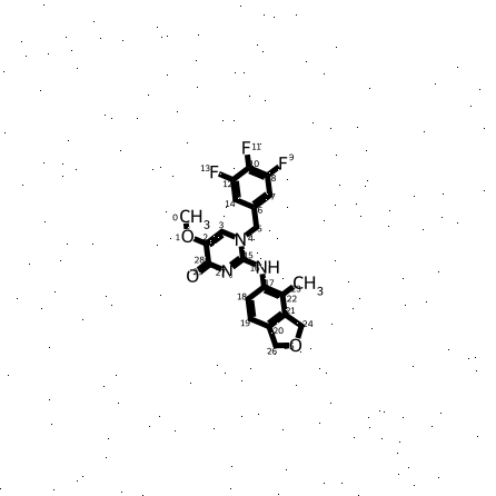 COc1cn(Cc2cc(F)c(F)c(F)c2)c(Nc2ccc3c(c2C)COC3)nc1=O